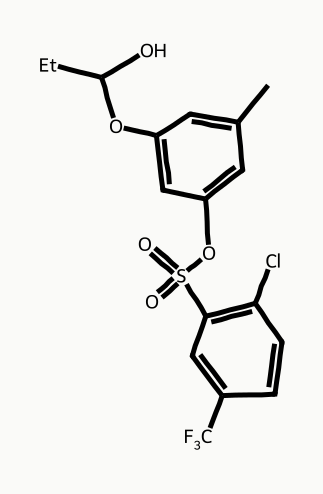 CCC(O)Oc1cc(C)cc(OS(=O)(=O)c2cc(C(F)(F)F)ccc2Cl)c1